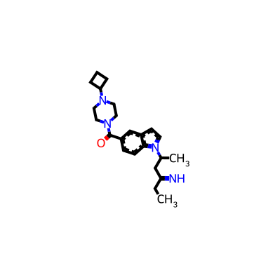 CCC(=N)CC(C)n1ccc2cc(C(=O)N3CCN(C4CCC4)CC3)ccc21